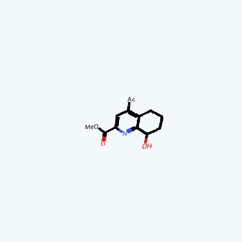 COC(=O)c1cc(C(C)=O)c2c(n1)C(O)CCC2